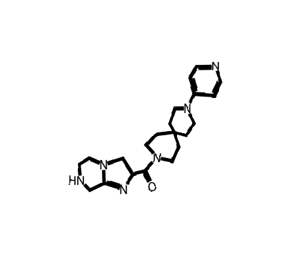 O=C(C1CN2CCNCC2=N1)N1CCC2(CC1)CCN(c1ccncc1)CC2